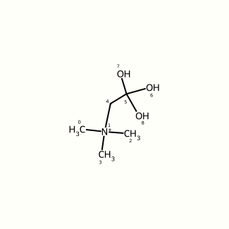 C[N+](C)(C)CC(O)(O)O